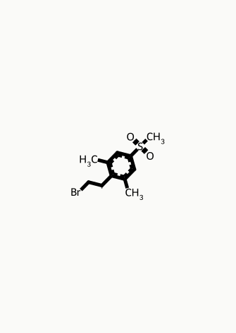 Cc1cc(S(C)(=O)=O)cc(C)c1[CH]CBr